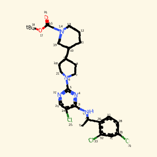 CC(Nc1nc(N2CCC(C3CCCN(C(=O)OC(C)(C)C)C3)CC2)ncc1Cl)c1ccc(Cl)cc1Cl